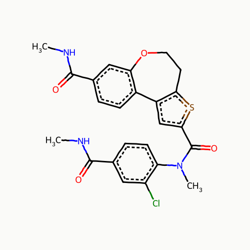 CNC(=O)c1ccc(N(C)C(=O)c2cc3c(s2)CCOc2cc(C(=O)NC)ccc2-3)c(Cl)c1